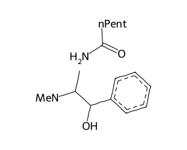 CCCCCC(N)=O.CNC(C)C(O)c1ccccc1